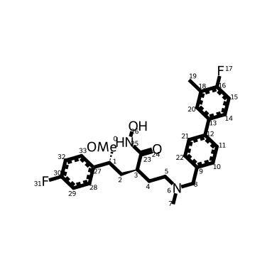 CO[C@H](C[C@H](CCN(C)Cc1ccc(-c2ccc(F)c(C)c2)cc1)C(=O)NO)c1ccc(F)cc1